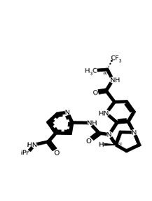 CC(C)NC(=O)c1ccnc(NC(=O)N2C3=C(C=CC(C(=O)N[C@H](C)C(F)(F)F)N3)N3CC[C@H]2C3)c1